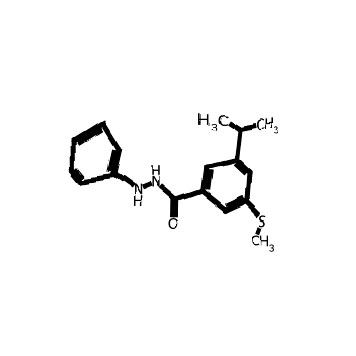 CSc1cc(C(=O)NNc2ccccc2)cc(C(C)C)c1